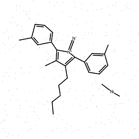 CCCCCC1=C(c2cccc(C)c2)[N+](=[N-])C(c2cccc(C)c2)=C1C.[CH3][Ni][CH3]